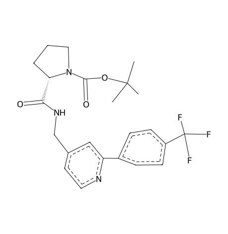 CC(C)(C)OC(=O)N1CCC[C@H]1C(=O)NCc1ccnc(-c2ccc(C(F)(F)F)cc2)c1